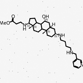 COC(=O)CCN[C@H]1CCC2C3C(CC[C@@]21C)[C@@]1(C)CC[C@H](NCCCCNCc2cccnc2)C[C@@H]1C[C@H]3O